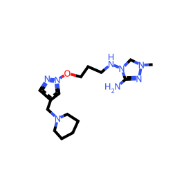 CN1CN(NCCCOn2cc(CN3CCCCC3)cn2)C(N)=N1